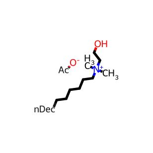 CC(=O)[O-].CCCCCCCCCCCCCCCC[N+](C)(C)CCO